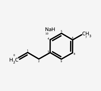 C=CCc1ccc(C)cc1.[NaH]